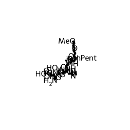 CCCCCN(CC(=O)N[C@@H](CC(C)C)C(=O)N[C@@H](Cc1ncc[nH]1)C(=O)N[C@@H](CO)C(=O)N[C@H](C(N)=O)[C@@H](C)OP(=O)(O)O)C(=O)CCOCCOC